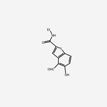 CCNC(=O)c1cc2c(C=O)c(O)ccc2s1